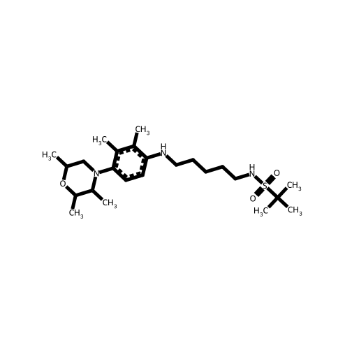 Cc1c(NCCCCCNS(=O)(=O)C(C)(C)C)ccc(N2CC(C)OC(C)C2C)c1C